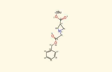 CC(C)(C)OC(=O)C1CN(CC(=O)OCc2ccccc2)C1